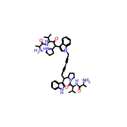 CC(N)C(=O)NC(C(=O)C(c1cn(CC#CC#CCC(c2c[nH]c3ccccc23)C2CCCN2C(=O)C(NC(=O)C(C)N)C(C)C)c2ccccc12)C1CCCN1)C(C)C